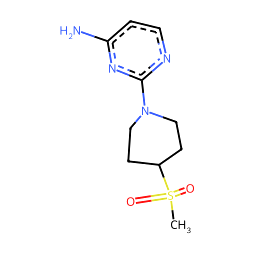 CS(=O)(=O)C1CCN(c2nccc(N)n2)CC1